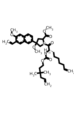 C=CCCCCC[C@H](NC(=O)OCCC(C)(C)CC=C)C(=O)N1CC(OC)(c2ccc3cc(OC)c(C=C)cc3c2)CC1C(=O)OC